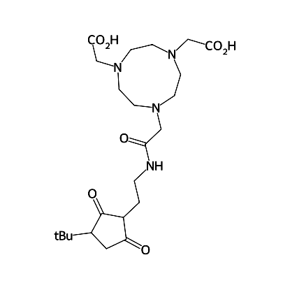 CC(C)(C)C1CC(=O)C(CCNC(=O)CN2CCN(CC(=O)O)CCN(CC(=O)O)CC2)C1=O